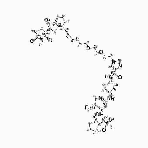 CN(c1ncccc1CNc1nc(Nc2ccc(NC(=O)c3cn(CCOCCOCCOCC#Cc4cccc5c4CN(C4CCC(=O)NC4=O)C5=O)nn3)cc2)ncc1C(F)(F)F)S(C)(=O)=O